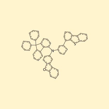 c1ccc(C2(c3ccccc3)c3ccccc3-c3c(N(c4cccc(-c5cccc6c5sc5ccccc56)c4)c4ccc5oc6ccccc6c5c4)cccc32)cc1